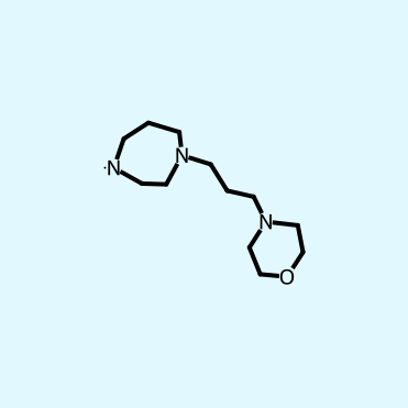 C1C[N]CCN(CCCN2CCOCC2)C1